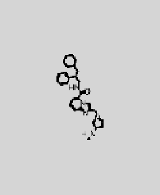 NC1CCN(Cc2cn3c(C(=O)NCC(CC4CCCCC4)c4ccccc4)cccc3n2)C1